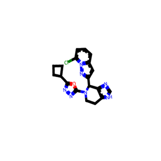 Clc1cccc2cc(C3c4nc[nH]c4CCN3c3nnc(C4CCC4)o3)nn12